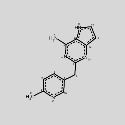 Cc1ccc(Cc2nc(N)c3[nH]ccc3n2)cn1